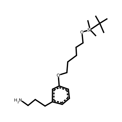 CC(C)(C)[Si](C)(C)OCCCCCOc1cccc(CCCN)c1